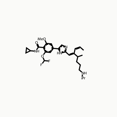 C/C=C\C(=C/c1ncc(-c2cc(OC)c(C(=O)NC3CC3)c(OC(F)F)c2)[nH]1)C(C)CCCNC(C)C